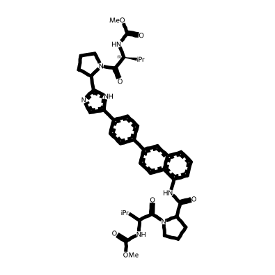 COC(=O)NC(C(=O)N1CCCC1C(=O)Nc1cccc2cc(-c3ccc(-c4cnc(C5CCCN5C(=O)[C@@H](NC(=O)OC)C(C)C)[nH]4)cc3)ccc12)C(C)C